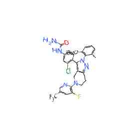 Cc1cccc(OCC(C)C)c1-n1nc2c(c1-c1ccc(NC(N)=O)cc1Cl)CN(c1ncc(C(F)(F)F)cc1F)CC2